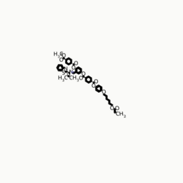 C=CC(=O)OCCCCCCOc1ccc(OC(=O)[C@H]2CC[C@H](C(=O)Oc3ccc(OC(=O)[C@H]4CC[C@H](C(=O)OC)CC4)c(/C=N/N(c4nc5ccccc5s4)C(C)C)c3)CC2)cc1